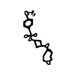 Cc1ccc(S(=O)(=O)OC2CC(OC3CCOCC3)C2)cc1